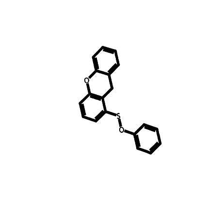 c1ccc(OSc2cccc3c2Cc2ccccc2O3)cc1